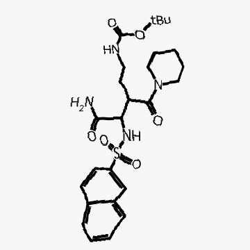 CC(C)(C)OC(=O)NCCC(C(=O)N1CCCCC1)C(NS(=O)(=O)c1ccc2ccccc2c1)C(N)=O